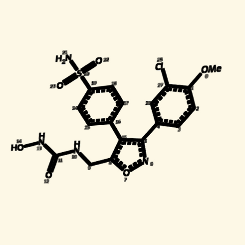 COc1ccc(-c2noc(CNC(=O)NO)c2-c2ccc(S(N)(=O)=O)cc2)cc1Cl